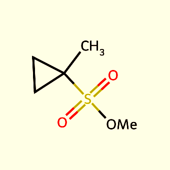 COS(=O)(=O)C1(C)CC1